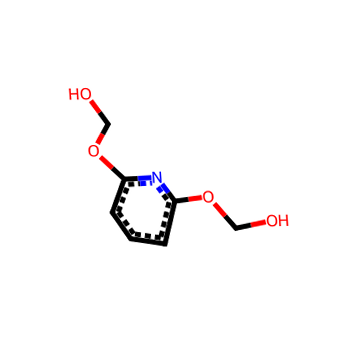 OCOc1cccc(OCO)n1